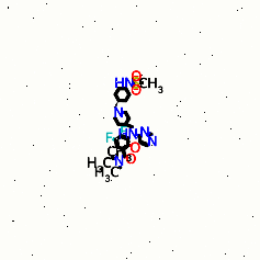 CCN(C(=O)c1cc(F)ccc1Oc1cncnc1NCC1(F)CCN(C[C@H]2CC[C@H](NS(C)(=O)=O)CC2)CC1)C(C)C